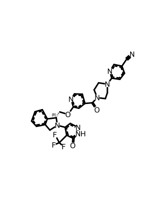 N#Cc1ccc(N2CCN(C(=O)c3ccnc(OC[C@H]4c5ccccc5CN4c4cn[nH]c(=O)c4C(F)(F)F)c3)CC2)nc1